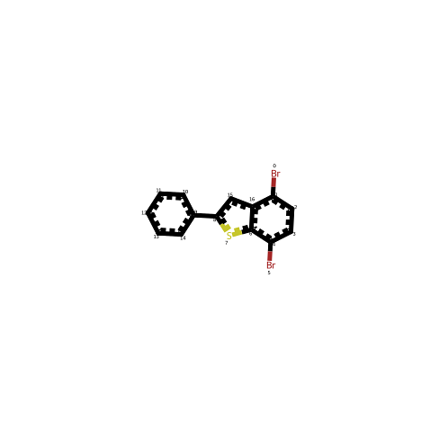 Brc1ccc(Br)c2sc(-c3ccccc3)cc12